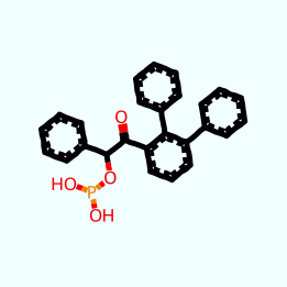 O=C(c1cccc(-c2ccccc2)c1-c1ccccc1)C(OP(O)O)c1ccccc1